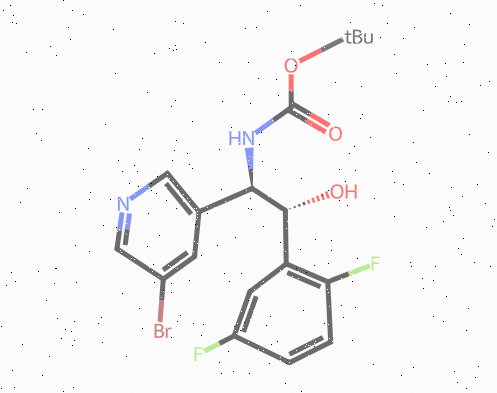 CC(C)(C)OC(=O)N[C@H](c1cncc(Br)c1)[C@H](O)c1cc(F)ccc1F